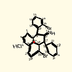 Cl.N=C(C(c1ccccc1)c1ccccc1Br)C(c1ccccc1)c1ccccc1Br